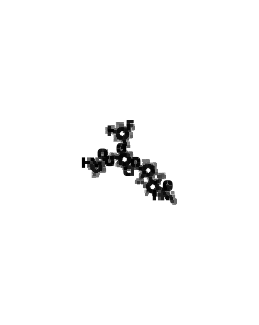 CCNC(=O)c1cccc(-c2cccc(COc3cc(OCc4cc(F)cc(F)c4)c(COC(=O)[C@@H]4CCCN4)cc3Cl)c2C)c1C